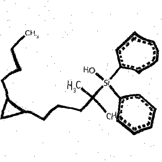 CCCCC1CC1CCCC(C)(C)[Si](O)(c1ccccc1)c1ccccc1